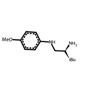 CC[C@H](C)[C@H](N)CNc1ccc(OC)cc1